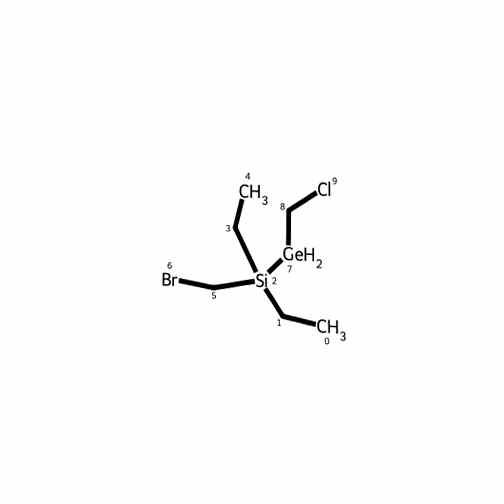 CC[Si](CC)(CBr)[GeH2][CH2]Cl